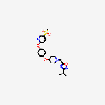 CC(C)c1noc(CN2CCC(O[C@H]3CC[C@H](Oc4ccc(S(C)(=O)=O)cn4)CC3)CC2)n1